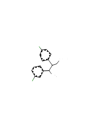 N#CC(c1cccc(F)c1)C(CC(=O)O)c1ccc(F)cc1